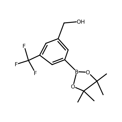 CC1(C)OB(c2cc(CO)cc(C(F)(F)F)c2)OC1(C)C